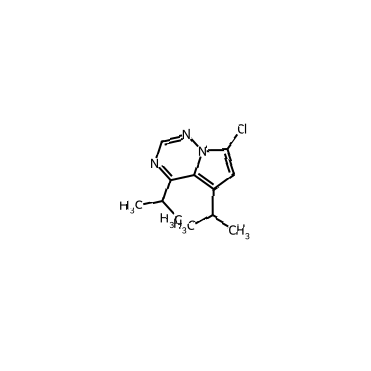 CC(C)c1cc(Cl)n2ncnc(C(C)C)c12